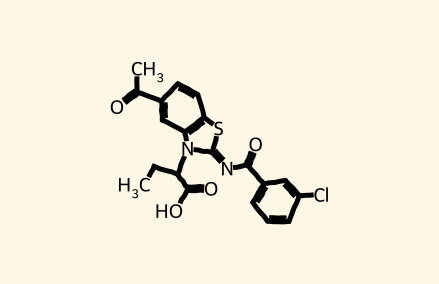 CCC(C(=O)O)n1/c(=N/C(=O)c2cccc(Cl)c2)sc2ccc(C(C)=O)cc21